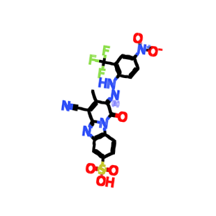 CC1=C(C#N)c2nc3cc(S(=O)(=O)O)ccc3n2C(=O)/C1=N/Nc1ccc([N+](=O)[O-])cc1C(F)(F)F